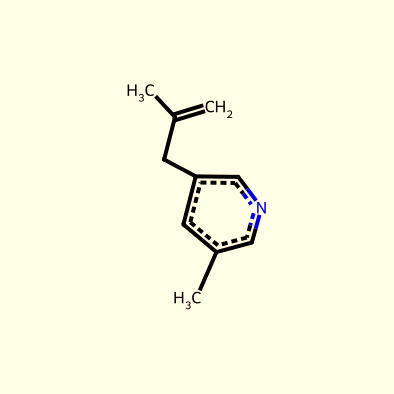 C=C(C)Cc1cncc(C)c1